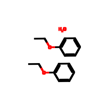 CCOc1ccccc1.CCOc1ccccc1.O